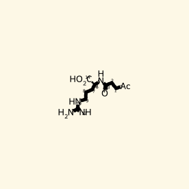 CC(=O)CCC(=O)N[C@@H](CCCNC(=N)N)C(=O)O